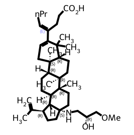 C=C(C)[C@@H]1CC[C@]2(NC[C@@H](O)COC)CC[C@]3(C)[C@H](CC[C@@H]4[C@@]5(C)CC=C(/C(=C/CCC)CCC(=O)O)C(C)(C)[C@@H]5CC[C@]43C)[C@@H]12